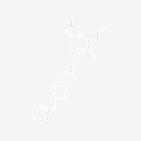 CC(C)(C)OC(=O)NC(CCC(=O)Nc1ccc(Oc2ccccc2)cc1)C(=O)NCCCl